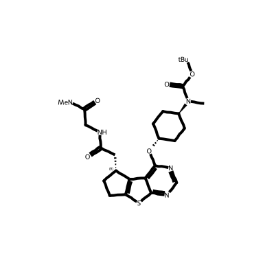 CNC(=O)CNC(=O)C[C@H]1CCc2sc3ncnc(O[C@H]4CC[C@H](N(C)C(=O)OC(C)(C)C)CC4)c3c21